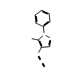 Cc1c(N=C=O)cnn1-c1ccccc1